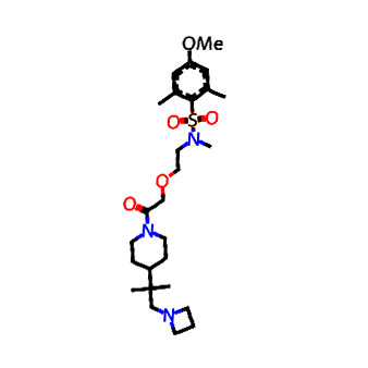 COc1cc(C)c(S(=O)(=O)N(C)CCOCC(=O)N2CCC(C(C)(C)CN3CCC3)CC2)c(C)c1